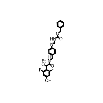 CCOC(C(=O)NCc1ccc(/N=C/NC(=O)OCc2ccccc2)cc1)c1c(F)cc(O)cc1F